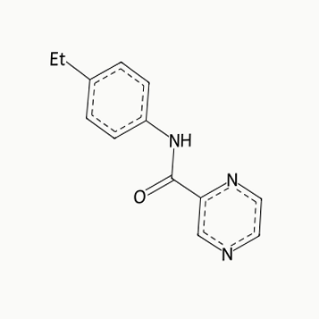 [CH2]Cc1ccc(NC(=O)c2cnccn2)cc1